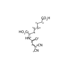 N#CC(C#N)=CC(=O)NC(CSSCCC(=O)O)C(=O)O